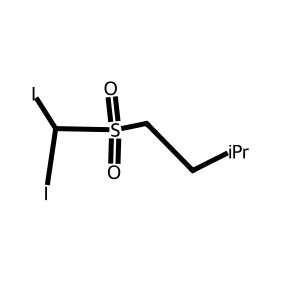 CC(C)CCS(=O)(=O)C(I)I